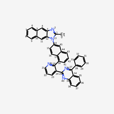 CCc1nc2cc3ccccc3cc2n1-c1ccc2c(-c3ncccc3-c3nc(-c4ccccc4)c4ccccc4n3)cccc2c1